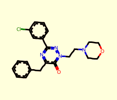 O=c1c(Cc2ccccc2)nc(-c2cccc(Cl)c2)nn1CCN1CCOCC1